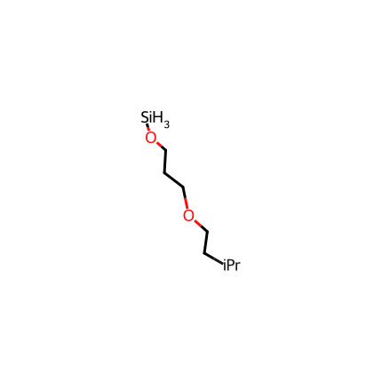 CC(C)CCOCCCO[SiH3]